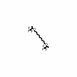 C=C(OCCCCCCCCCOC(=C)C(F)(F)F)C(F)(F)F